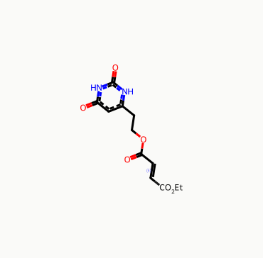 CCOC(=O)/C=C/C(=O)OCCc1cc(=O)[nH]c(=O)[nH]1